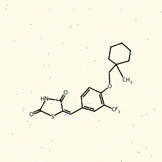 CC1(COc2ccc(/C=C3/SC(=O)NC3=O)cc2C(F)(F)F)CCCCC1